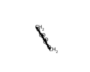 C=COCCCCOC(=O)CCCC(=O)OCCCCOC=C